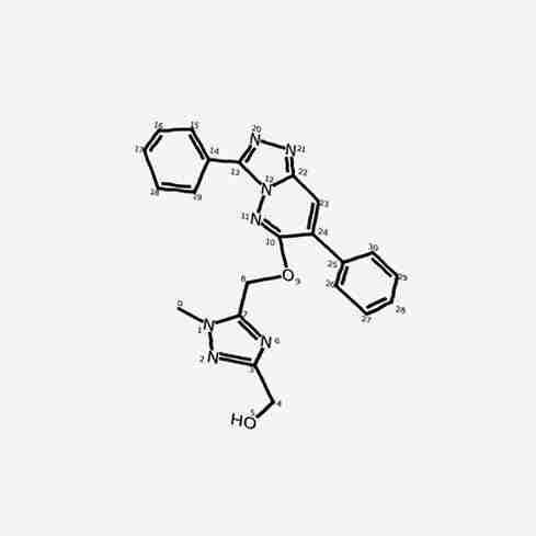 Cn1nc(CO)nc1COc1nn2c(-c3ccccc3)nnc2cc1-c1ccccc1